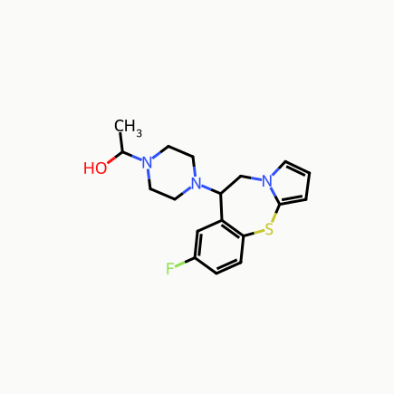 CC(O)N1CCN(C2Cn3cccc3Sc3ccc(F)cc32)CC1